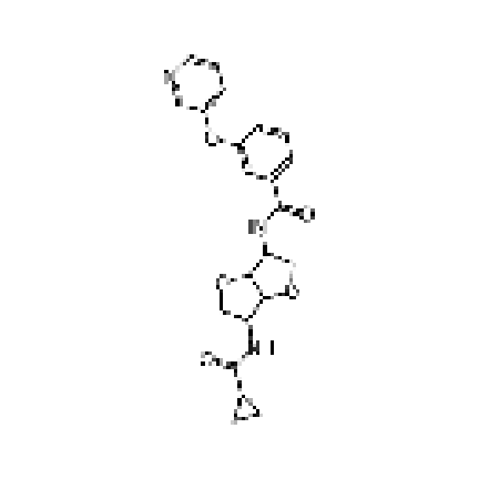 O=C(NC1COC2C1OC[C@@H]2NC(=O)C1CC1)c1cccc(Oc2cccnc2)c1